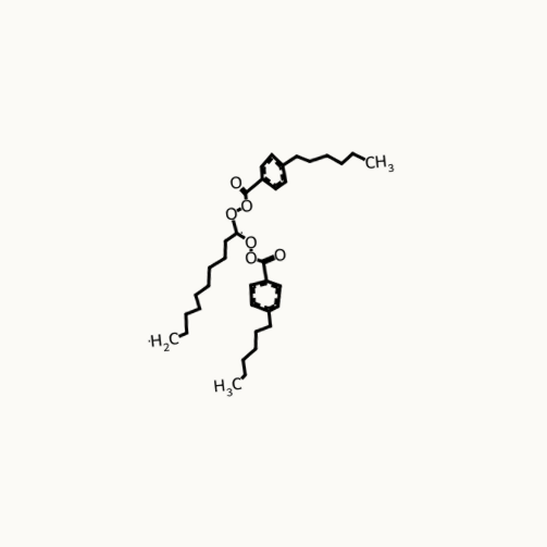 [CH2]CCCCCCCC[C](OOC(=O)c1ccc(CCCCCC)cc1)OOC(=O)c1ccc(CCCCCC)cc1